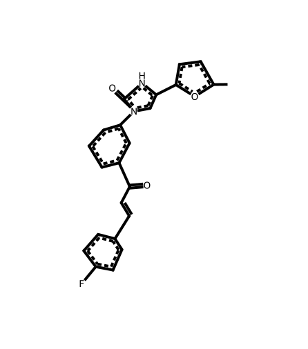 Cc1ccc(-c2cn(-c3cccc(C(=O)/C=C/c4ccc(F)cc4)c3)c(=O)[nH]2)o1